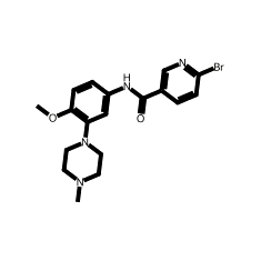 COc1ccc(NC(=O)c2ccc(Br)nc2)cc1N1CCN(C)CC1